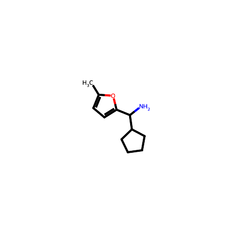 Cc1ccc(C(N)C2CCCC2)o1